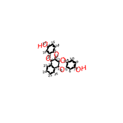 O=C1C(Oc2ccc(O)cc2)=C(Oc2ccc(O)cc2)C(=O)c2ccccc21